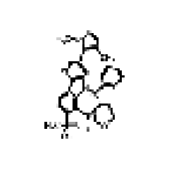 Cc1cnn(C)c1-c1cnc2c3ccc(C(C)(O)C(F)(F)F)c(F)c3n([C@H](c3ccccc3)C3CCOCC3)c2c1